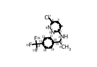 C[C@H](Nc1ccc(Cl)nn1)c1ccc(C(F)(F)F)cc1